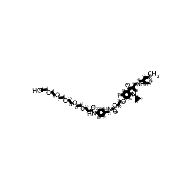 C#CCOCCOCCOCCOCCOCCC(=O)Nc1ccc(CNC(=O)OCCOc2cc3c(cc2F)c(=O)c(CNCc2ccnc(C)c2)cn3C2CC2)cc1